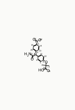 CC(C)(Oc1ccc(N(C(N)=O)c2ccc([N+](=O)[O-])cc2)cc1)C(=O)O